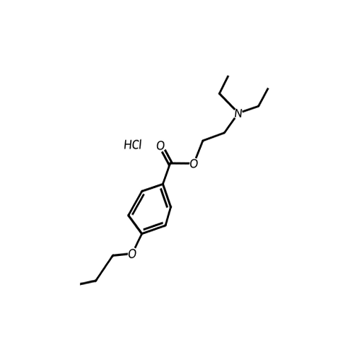 CCCOc1ccc(C(=O)OCCN(CC)CC)cc1.Cl